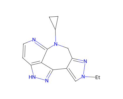 CCn1cc2c(n1)CN(C1CC1)c1nccc3[nH]nc-2c13